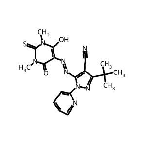 Cn1c(O)c(N=Nc2c(C#N)c(C(C)(C)C)nn2-c2ccccn2)c(=O)n(C)c1=S